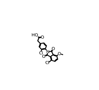 COc1ccc(Cl)c2c1C(=O)N(c1ccc(CC(=O)O)cc1Cl)C2=O